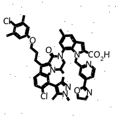 Cc1cc(N2CC(C)n3c(c(CCCOc4cc(C)c(Cl)c(C)c4)c4ccc(Cl)c(-c5c(C)nn(C)c5C)c43)C2=O)c2c(c1)cc(C(=O)O)n2Cc1cc(C2=NCCO2)ccn1